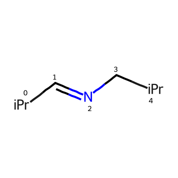 CC(C)C=NCC(C)C